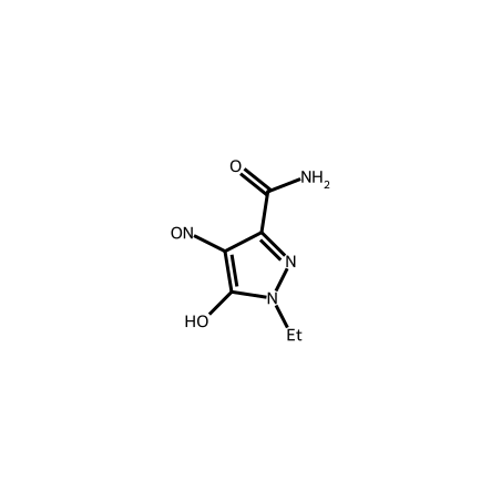 CCn1nc(C(N)=O)c(N=O)c1O